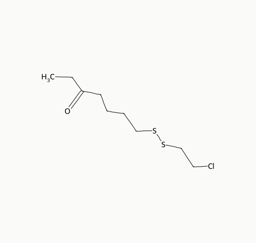 CCC(=O)CCCCSSCCCl